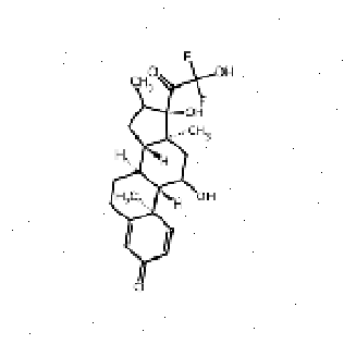 CC1C[C@H]2[C@@H]3CCC4=CC(=O)C=C[C@]4(C)[C@H]3C(O)C[C@]2(C)[C@@]1(O)C(=O)C(O)(F)F